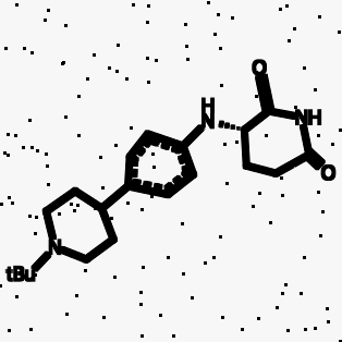 CC(C)(C)N1CCC(c2ccc(N[C@H]3CCC(=O)NC3=O)cc2)CC1